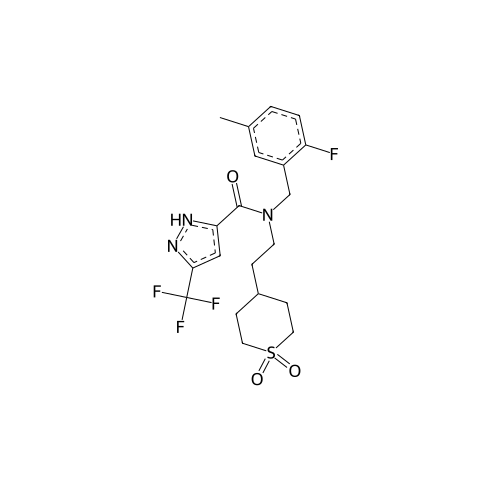 Cc1ccc(F)c(CN(CCC2CCS(=O)(=O)CC2)C(=O)c2cc(C(F)(F)F)n[nH]2)c1